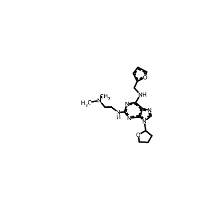 CN(C)CCNc1nc(NCc2ccco2)c2ncn(C3CCCO3)c2n1